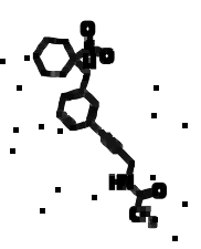 O=C(NCC#Cc1cccc(CC2([SH](=O)=O)CCCCC2)c1)C(F)(F)F